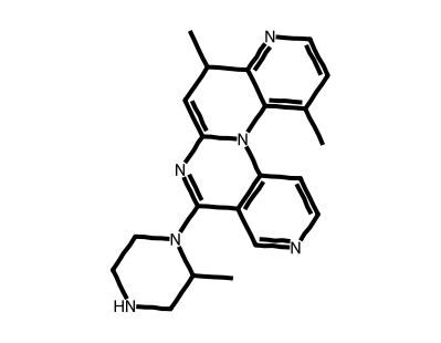 Cc1ccnc2c1N1C(=CC2C)N=C(N2CCNCC2C)c2cnccc21